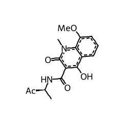 COc1cccc2c(O)c(C(=O)N[C@@H](C)C(C)=O)c(=O)n(C)c12